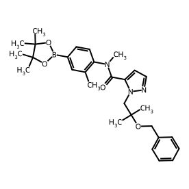 Cc1cc(B2OC(C)(C)C(C)(C)O2)ccc1N(C)C(=O)c1ccnn1CC(C)(C)OCc1ccccc1